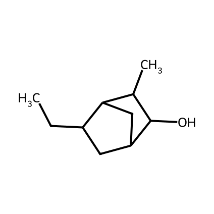 CCC1CC2CC1C(C)C2O